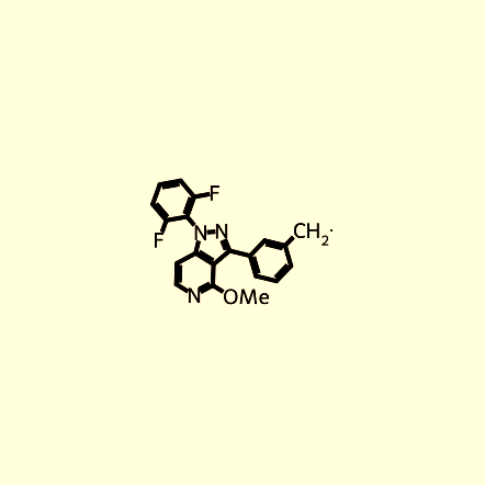 [CH2]c1cccc(-c2nn(-c3c(F)cccc3F)c3ccnc(OC)c23)c1